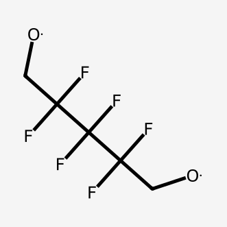 [O]CC(F)(F)C(F)(F)C(F)(F)C[O]